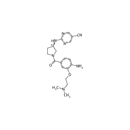 CN(C)CCOc1cc(C(=O)N2CC[C@@H](Nc3ncc(C#N)cn3)C2)ccc1N